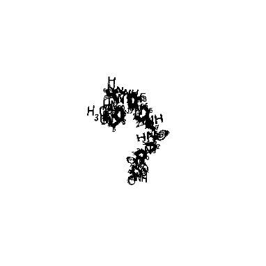 CS(=O)(=O)N1CCc2cccc(Nc3nc(Nc4ccc(N5CCC(NCCNC(=O)[C@H]6CCN(c7ccc8c(c7)C(=O)N(C7CCC(=O)NC7=O)C8=O)C6)CC5)c(F)c4)nc4[nH]ccc34)c21